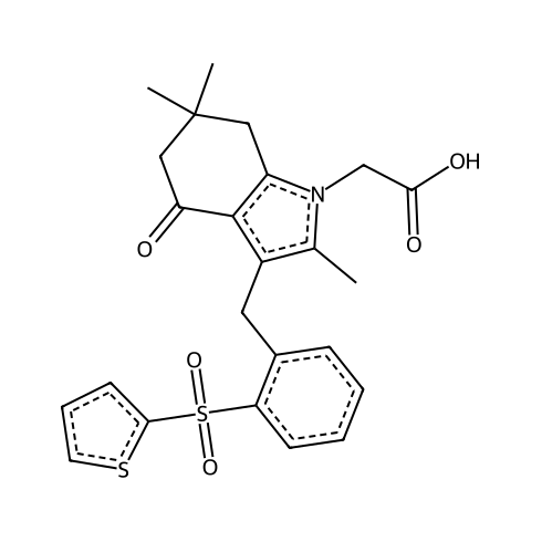 Cc1c(Cc2ccccc2S(=O)(=O)c2cccs2)c2c(n1CC(=O)O)CC(C)(C)CC2=O